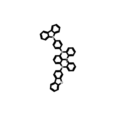 O=P12c3ccccc3B(c3ccc(-n4c5ccccc5c5ccccc54)cc3)c3cccc(c31)B(c1ccc3c(c1)oc1ccccc13)c1ccccc12